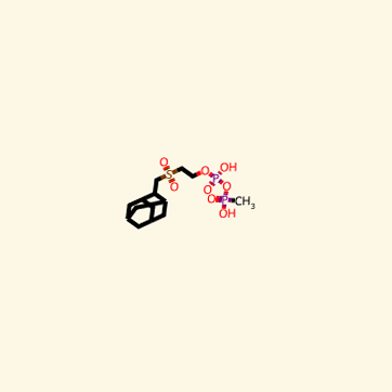 CP(=O)(O)OP(=O)(O)OCCS(=O)(=O)CC1C2CC3CC(C2)CC1C3